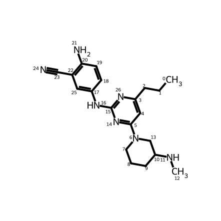 CCCc1cc(N2CCCC(NC)C2)nc(Nc2ccc(N)c(C#N)c2)n1